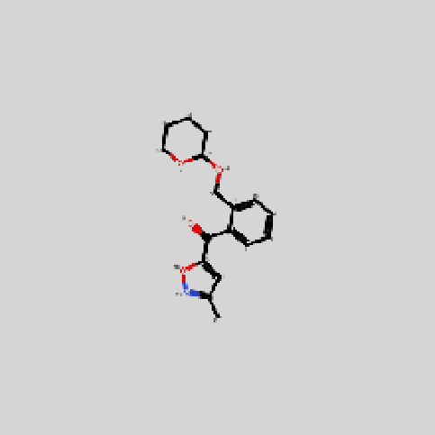 Cc1cc(C(=O)c2ccccc2COC2CCCCO2)on1